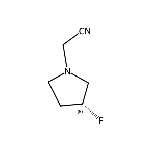 N#CCN1CC[C@@H](F)C1